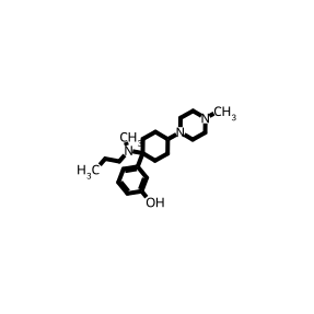 CCCN(C)C1(c2cccc(O)c2)CCC(N2CCN(C)CC2)CC1